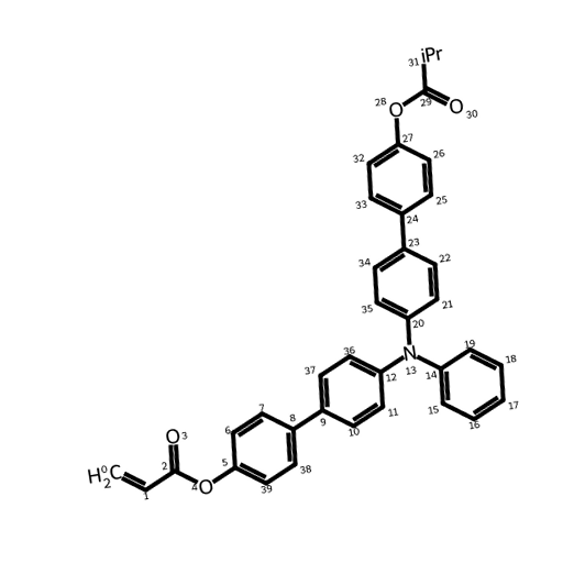 C=CC(=O)Oc1ccc(-c2ccc(N(c3ccccc3)c3ccc(-c4ccc(OC(=O)C(C)C)cc4)cc3)cc2)cc1